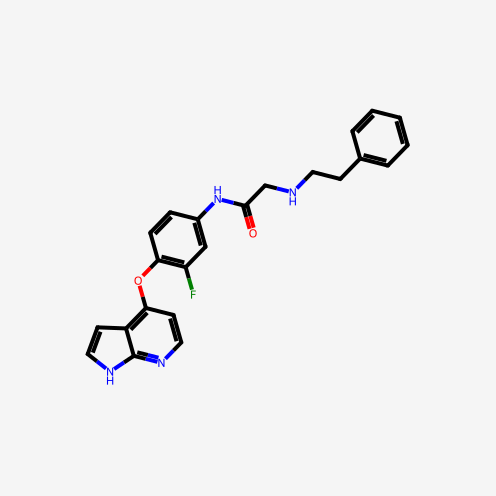 O=C(CNCCc1ccccc1)Nc1ccc(Oc2ccnc3[nH]ccc23)c(F)c1